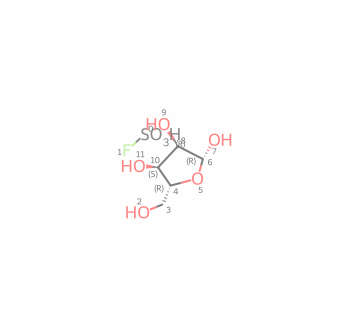 O=S(=O)(O)F.OC[C@H]1O[C@@H](O)[C@H](O)[C@@H]1O